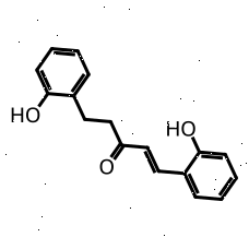 O=C(/C=C/c1ccccc1O)CCc1ccccc1O